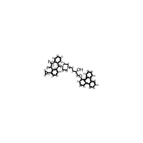 O[C@@H](CCN1CCN(C2c3ccccc3C(F)C(F)c3c(C4CC4)cccc32)CC1)COc1cccc2c3ccccc3c3ccccc3c12